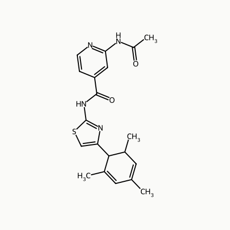 CC(=O)Nc1cc(C(=O)Nc2nc(C3C(C)=CC(C)=CC3C)cs2)ccn1